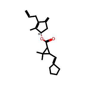 C=CCC1=C(C)[C@@H](OC(=O)C2C(C=C3CCCC3)C2(C)C)CC1=C